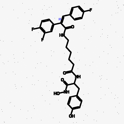 O=C(CCCCCNC(=O)/C(=C\c1ccc(F)cc1)c1ccc(F)c(F)c1)NC(Cc1ccc(O)cc1)C(=O)NO